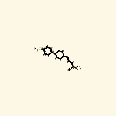 N#CC(F)=CC=CC1CCC(c2ccc(C(F)(F)F)cc2)CC1